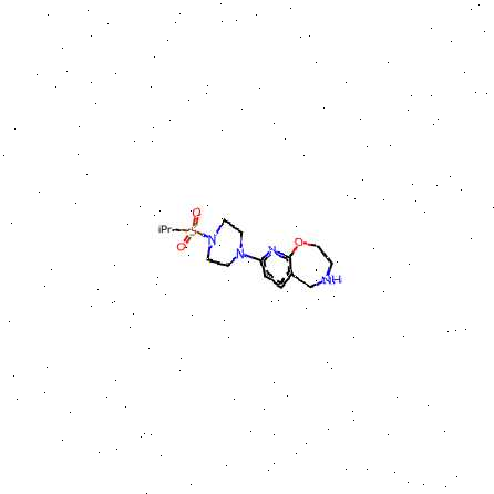 CC(C)S(=O)(=O)N1CCN(c2ccc3c(n2)OCCNC3)CC1